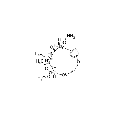 COC(=O)[C@@H]1COCC=CCOc2ccc(cc2)C[C@H](BOCN)C(=O)N[C@@H](CC(C)C)C(=O)N1